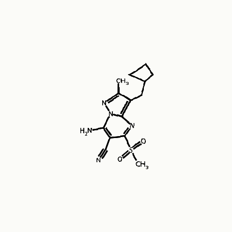 Cc1nn2c(N)c(C#N)c(S(C)(=O)=O)nc2c1CC1CCC1